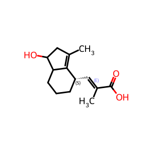 CC1=C2C(CCC[C@H]2/C=C(\C)C(=O)O)C(O)C1